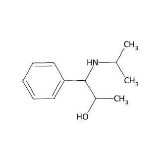 CC(C)NC(c1ccccc1)C(C)O